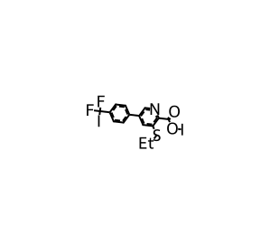 CCSc1cc(-c2ccc(C(F)(F)I)cc2)cnc1C(=O)OI